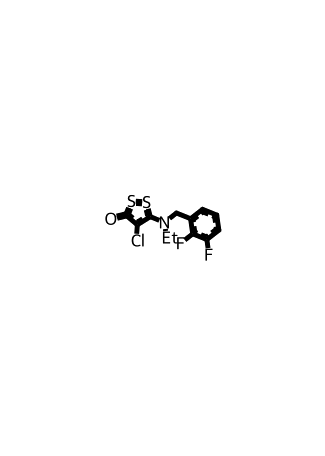 CCN(Cc1cccc(F)c1F)c1ssc(=O)c1Cl